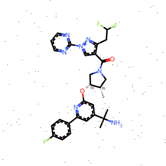 C[C@H]1CN(C(=O)c2cn(-c3ncccn3)nc2CC(F)F)C[C@H]1Oc1cc(C(C)(C)N)cc(-c2ccc(F)cc2)n1